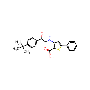 CC(C)(C)c1ccc(C(=O)CNc2cc(-c3ccccc3)sc2C(=O)O)cc1